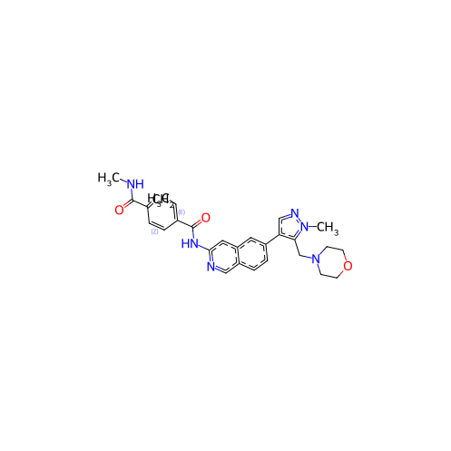 C=C(/C=C\C(=C/C)C(=O)Nc1cc2cc(-c3cnn(C)c3CN3CCOCC3)ccc2cn1)C(=O)NC